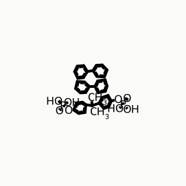 CC(C)(c1ccc(OP(=O)(O)O)cc1)c1ccc(OP(=O)(O)O)cc1.c1ccc(-c2ccccc2)cc1.c1ccc(-c2ccccc2)cc1